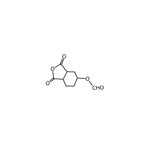 O=COC1CCC2C(=O)OC(=O)C2C1